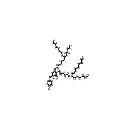 CCCCCCCCC(CCCCCC)CCCCCCN(CCCCCCOC(CCCCCC)CCCCCCCC)CC(CN1CCN(C)CC1)OCC